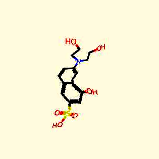 O=S(=O)(O)c1cc(O)c2cc(N(CCO)CCO)ccc2c1